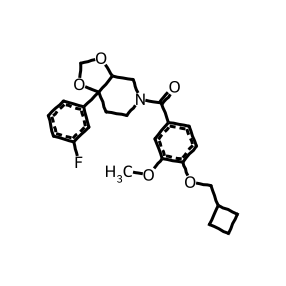 COc1cc(C(=O)N2CCC3(c4cccc(F)c4)OCOC3C2)ccc1OCC1CCC1